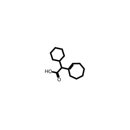 O=C(O)C(C1=CCCCCC1)C1CCCCC1